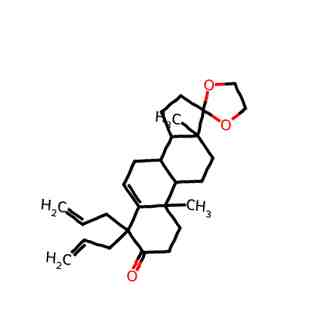 C=CCC1(CC=C)C(=O)CCC2(C)C1=CCC1C2CCC2(C)C1CCC21OCCO1